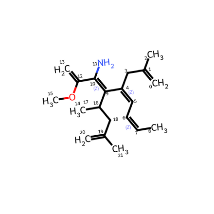 C=C(C)CC(=C/C=C\C)/C(=C(\N)C(=C)OC)C(C)CC(=C)C